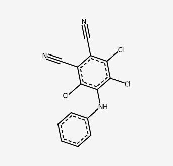 N#Cc1c(Cl)c(Cl)c(Nc2ccccc2)c(Cl)c1C#N